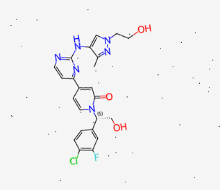 Cc1nn(CCO)cc1Nc1nccc(-c2ccn([C@H](CO)c3ccc(Cl)c(F)c3)c(=O)c2)n1